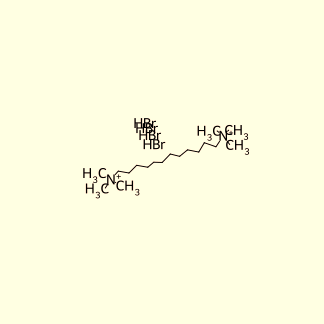 Br.Br.Br.Br.C[N+](C)(C)CCCCCCCCCCCC[N+](C)(C)C